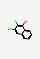 Oc1c(Cl)c(Cl)cc2ccccc12